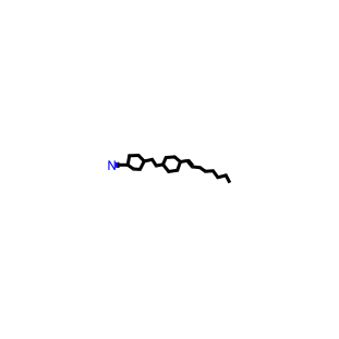 CCCCCCC=CC1CCC(CCC2CCC(C#N)CC2)CC1